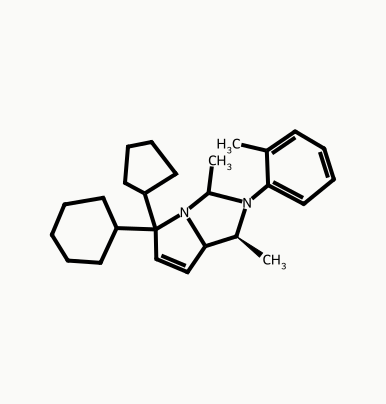 Cc1ccccc1N1C(C)N2C(C=CC2(C2CCCCC2)C2CCCC2)[C@@H]1C